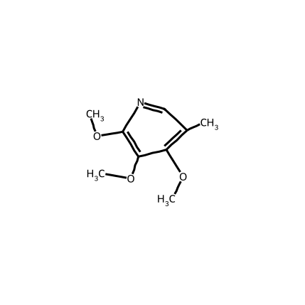 COc1ncc(C)c(OC)c1OC